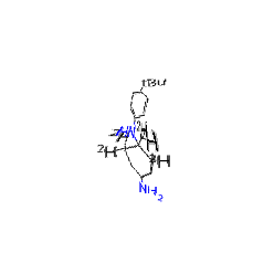 [2H]C1([2H])CC(N)CC([2H])([2H])C1([2H])Nc1ccc(C(C)(C)C)cc1